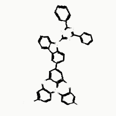 Cc1ccc2c(c1)Oc1cc(-c3ccc4c(c3)c3ccccc3n4-c3nc(-c4ccccc4)nc(-c4ccccc4)n3)cc3c1N2c1ccc(C)cc1O3